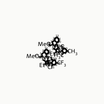 CCc1nn(-c2c(C)cc(C)cc2C)c(CC)c1CN1Cc2ccccc2CC1COC.CCc1nn(-c2c(Cl)cc(C(F)(F)F)cc2Cl)c(CC)c1CN1Cc2ccccc2CC1COC